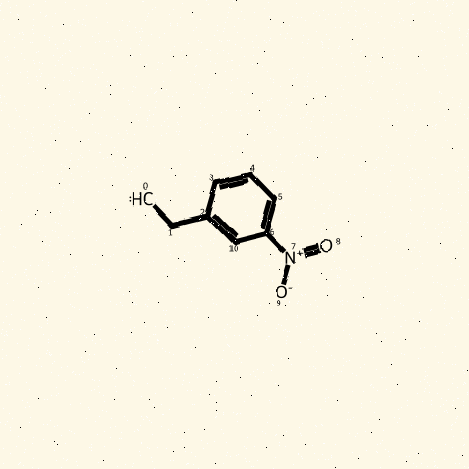 [CH]Cc1cccc([N+](=O)[O-])c1